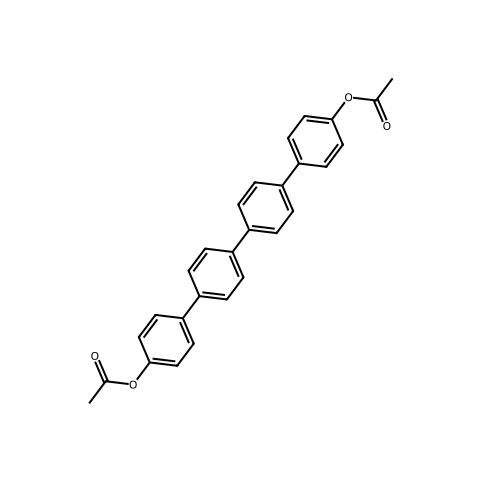 CC(=O)Oc1ccc(-c2ccc(-c3ccc(-c4ccc(OC(C)=O)cc4)cc3)cc2)cc1